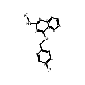 CC(C)Nc1nc(NCc2ccc(C#N)cc2)c2ccccc2n1